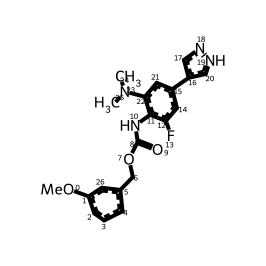 COc1cccc(COC(=O)Nc2c(F)cc(-c3cn[nH]c3)cc2N(C)C)c1